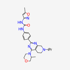 Cc1cc(NC(=O)Nc2ccc(-c3nc4c(c(N5CCOCC5C)n3)CCN(C(C)C)C4)cc2)no1